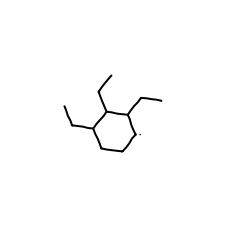 CCC1[CH]CCC(CC)C1CC